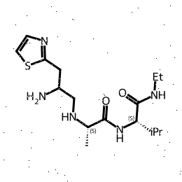 CCNC(=O)[C@@H](NC(=O)[C@H](C)NCC(N)Cc1nccs1)C(C)C